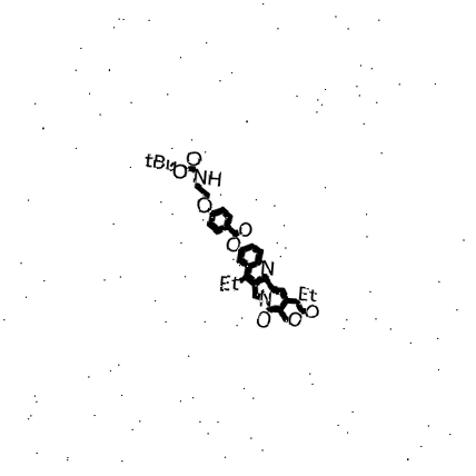 CCc1c2c(nc3ccc(OC(=O)c4ccc(OCCNC(=O)OC(C)(C)C)cc4)cc13)-c1cc3c(c(=O)n1C2)COC(=O)C3CC